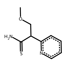 COCC(C(N)=S)c1ccccn1